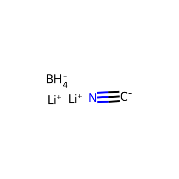 [BH4-].[C-]#N.[Li+].[Li+]